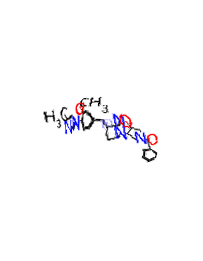 COc1cc(/C=C2\CCCN3C2=NOC2CN(C(=O)c4ccccc4)CC23)ccc1-n1cnc(C)c1